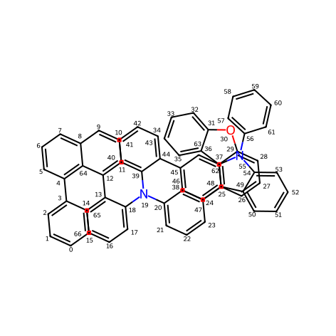 c1ccc(-c2cccc3cccc(-c4ccccc4N(c4cccc(-c5cccc6oc7ccccc7c56)c4)c4ccccc4-c4ccc5c6ccccc6n(-c6ccccc6)c5c4)c23)cc1